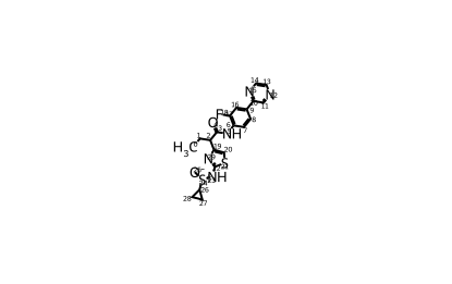 CCC(C(=O)Nc1ccc(-c2cnccn2)cc1F)c1csc(N[S+]([O-])C2CC2)n1